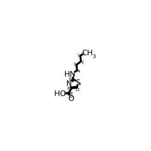 CCCCCNc1nc(C(=O)O)cs1